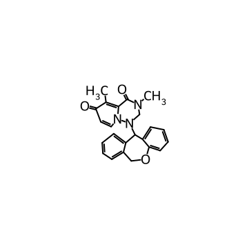 Cc1c2n(ccc1=O)N(C1c3ccccc3COc3ccccc31)CN(C)C2=O